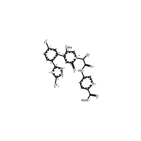 CCC(C(=O)Nc1ccc(C(=O)NC)nc1)n1cc(OC)c(-c2cc(Cl)ccc2-c2nnc(C(F)(F)F)s2)cc1=O